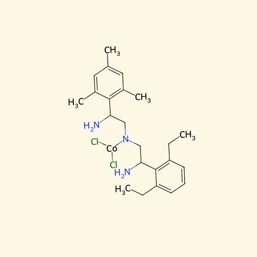 CCc1cccc(CC)c1C(N)C[N](CC(N)c1c(C)cc(C)cc1C)[Co]([Cl])[Cl]